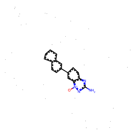 Nc1nc2ccc(-c3ccc4ccccc4c3)cc2[n+]([O-])n1